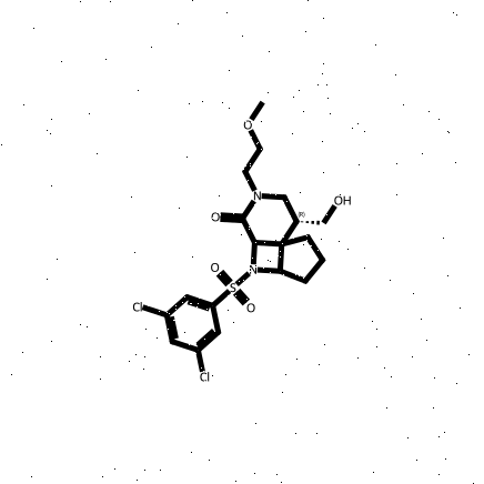 COCCN1C[C@H](CO)C23CCCC2N(S(=O)(=O)c2cc(Cl)cc(Cl)c2)C3C1=O